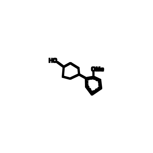 COc1ccccc1C1CCC(O)CC1